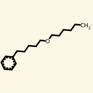 [CH2]CCCCCOCCCCCc1ccccc1